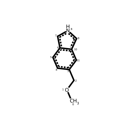 COCc1ccc2c[nH]cc2c1